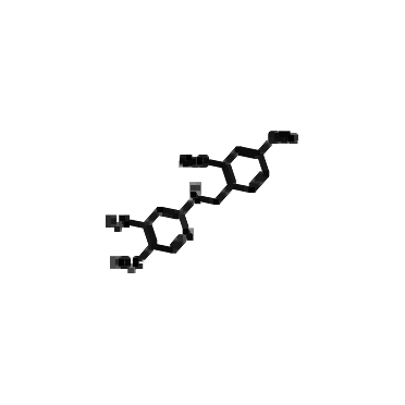 COc1ccc(CNc2cc(N)c(C(=O)O)cn2)c(OC)c1